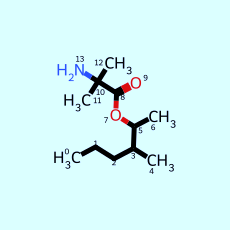 CCCC(C)C(C)OC(=O)C(C)(C)N